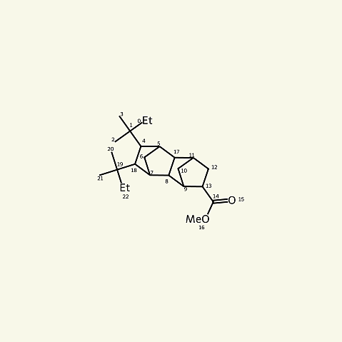 CCC(C)(C)C1C2CC(C3C4CC(CC4C(=O)OC)C23)C1C(C)(C)CC